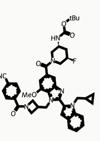 COc1cc(C(=O)N2C[C@H](F)C[C@@H](NC(=O)OC(C)(C)C)C2)cc2nc(-c3cc4ccccc4n3CC3CC3)n(CC3CN(C(=O)c4ccc(C#N)cc4)C3)c12